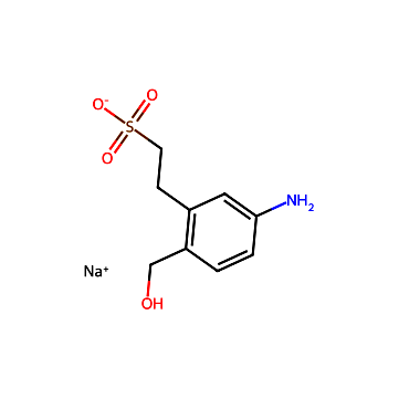 Nc1ccc(CO)c(CCS(=O)(=O)[O-])c1.[Na+]